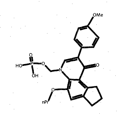 CCCOc1cc2c(c3c(=O)c(-c4ccc(OC)cc4)cn(COP(=O)(O)O)c13)CCC2